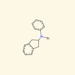 CCN(c1ccccc1)C1Cc2ccccc2C1